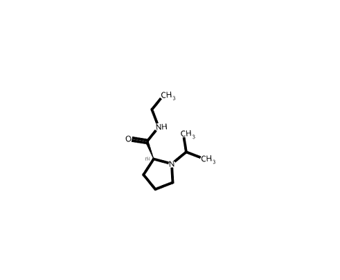 CCNC(=O)[C@@H]1CCCN1C(C)C